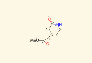 COC1OC1C1CCNC(=O)C1